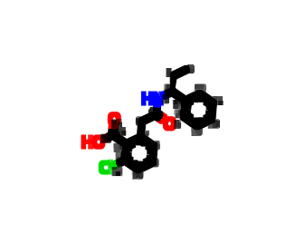 CC[C@H](NC(=O)Cc1cccc(Cl)c1C(=O)O)c1ccccc1